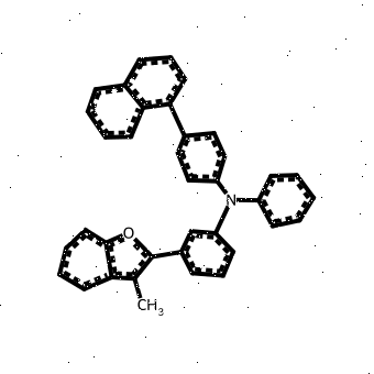 Cc1c(-c2cccc(N(c3ccccc3)c3ccc(-c4cccc5ccccc45)cc3)c2)oc2ccccc12